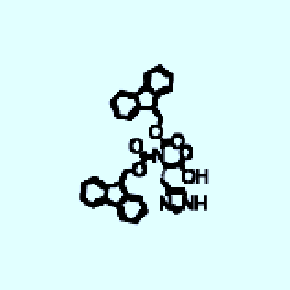 O=C(O)[C@H](Cc1c[nH]cn1)N(C(=O)OCC1c2ccccc2-c2ccccc21)C(=O)OCC1c2ccccc2-c2ccccc21